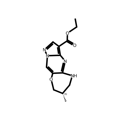 CCOC(=O)c1cnn2cc3c(nc12)NC[C@H](C)CO3